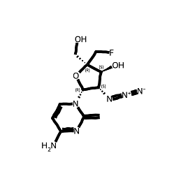 C=C1N=C(N)C=CN1[C@@H]1O[C@@](CO)(CF)[C@@H](O)[C@@H]1N=[N+]=[N-]